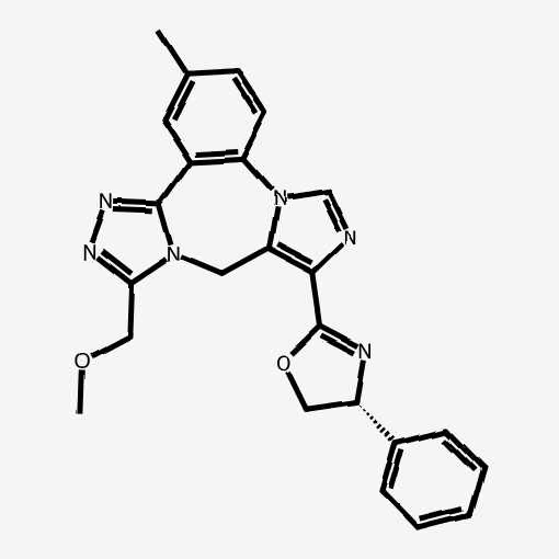 COCc1nnc2n1Cc1c(C3=N[C@H](c4ccccc4)CO3)ncn1-c1ccc(C)cc1-2